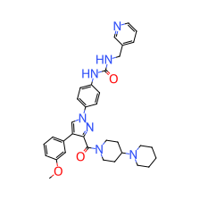 COc1cccc(-c2cn(-c3ccc(NC(=O)NCc4cccnc4)cc3)nc2C(=O)N2CCC(N3CCCCC3)CC2)c1